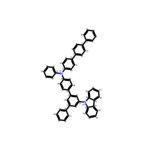 c1ccc(-c2ccc(-c3ccc(N(c4ccccc4)c4ccc(-c5cc(-c6ccccc6)cc(-n6c7ccccc7c7ccccc76)c5)cc4)cc3)cc2)cc1